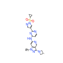 CC(C)n1nc(N2C[CH]C2)c2cnc(Nc3ccnc(-c4cnn(S(=O)(=O)C5CC5)c4)n3)cc21